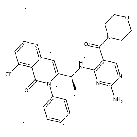 C[C@H](Nc1nc(N)ncc1C(=O)N1CCOCC1)c1cc2cccc(Cl)c2c(=O)n1-c1ccccc1